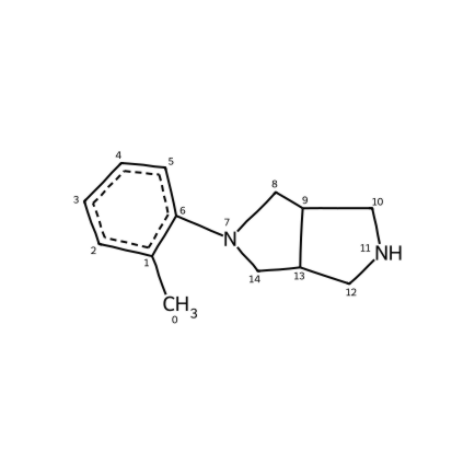 Cc1ccccc1N1CC2CNCC2C1